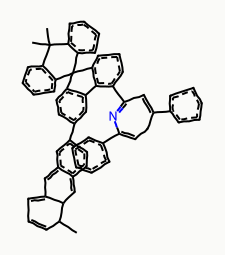 CC1C=CC=C2C=c3cc(-c4ccc5c(c4)-c4c(C6=NC(c7ccccc7)=CCC(c7ccccc7)=C6)cccc4C54c5ccccc5C(C)(C)c5ccccc54)ccc3=CC21